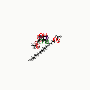 C=C(C)C(=O)OCCCCCCCCCCCCCCCCCC.C=C(C)C(=O)OCCOP(=O)(O)c1ccpc(Cl)c1Cl